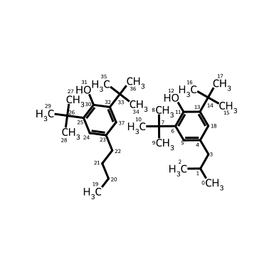 CC(C)Cc1cc(C(C)(C)C)c(O)c(C(C)(C)C)c1.CCCCc1cc(C(C)(C)C)c(O)c(C(C)(C)C)c1